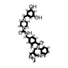 Cn1ncc2c1Nc1ccccc1N(C(=O)c1ccc(CNC(=O)N3CCN(Cc4cc(O)cc(O)c4)CC3)cc1F)C2